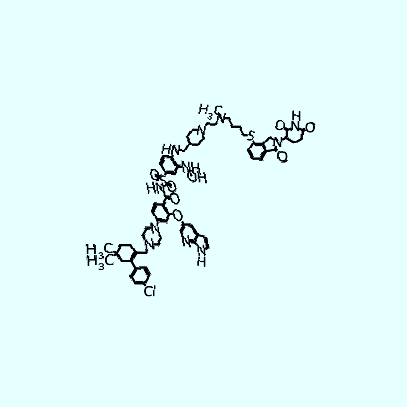 CN(CCCCSc1cccc2c1CN(C1CCC(=O)NC1=O)C2=O)CCN1CCC(CNc2ccc(S(=O)(=O)NC(=O)c3ccc(N4CCN(CC5=C(c6ccc(Cl)cc6)CC(C)(C)CC5)CC4)cc3Oc3cnc4[nH]ccc4c3)cc2NO)CC1